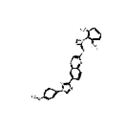 Cc1cccc(C)c1N1CSC1=Nc1cnc2cc(-c3ncn(-c4ccc(OC(F)(F)F)cc4)n3)ccc2n1